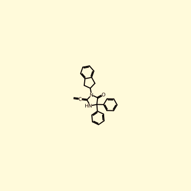 C=C=C1NC(c2ccccc2)(c2ccccc2)C(=O)N1C1Cc2ccccc2C1